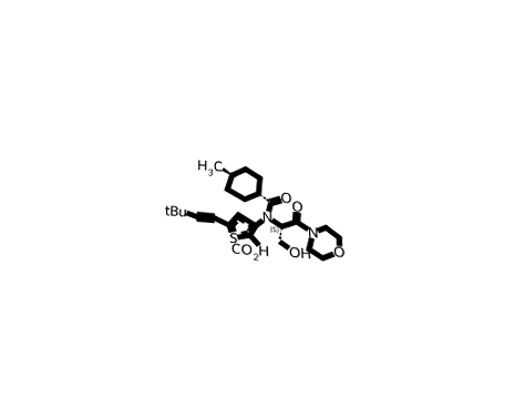 CC(C)(C)C#Cc1cc(N(C(=O)[C@H]2CC[C@H](C)CC2)[C@@H](CO)C(=O)N2CCOCC2)c(C(=O)O)s1